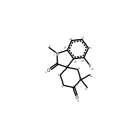 CN1C(=O)C2(CCC(=O)C(C)(C)C2)c2c(F)cccc21